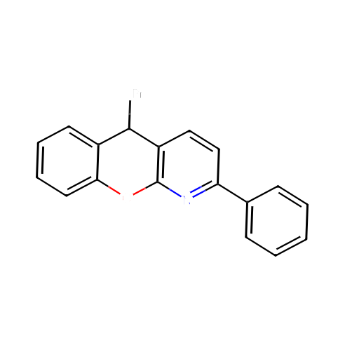 CC(C)C1c2ccccc2Oc2nc(-c3ccccc3)ccc21